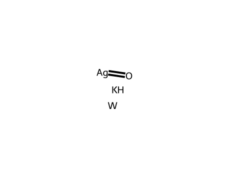 [KH].[O]=[Ag].[W]